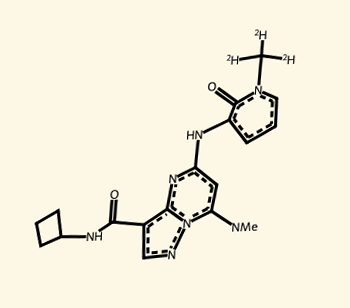 [2H]C([2H])([2H])n1cccc(Nc2cc(NC)n3ncc(C(=O)NC4CCC4)c3n2)c1=O